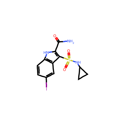 NC(=O)c1[nH]c2ccc(I)cc2c1S(=O)(=O)NC1CC1